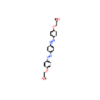 c1cc(/N=N/c2ccc(OCC3CO3)cc2)ccc1/N=N/c1ccc(OCC2CO2)cc1